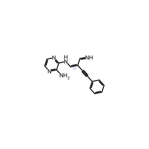 N=C/C(C#Cc1ccccc1)=C\Nc1nccnc1N